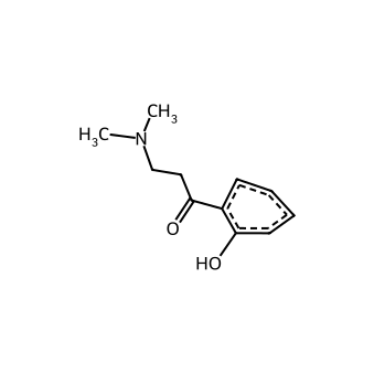 CN(C)CCC(=O)c1ccccc1O